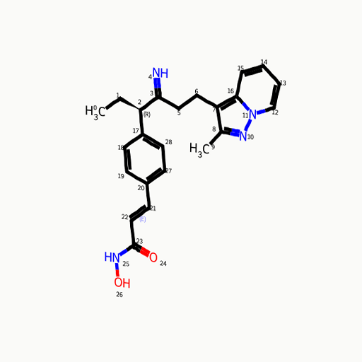 CC[C@@H](C(=N)CCc1c(C)nn2ccccc12)c1ccc(/C=C/C(=O)NO)cc1